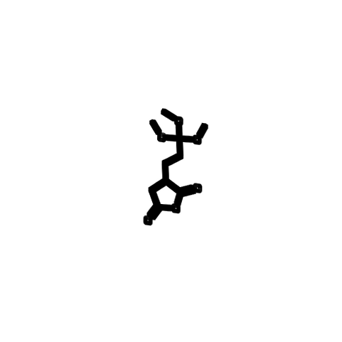 COC(CCC1CC(=O)OC1=O)(OC)OC